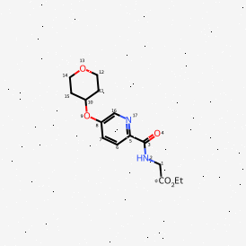 CCOC(=O)CNC(=O)c1ccc(OC2CCOCC2)cn1